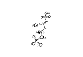 O=P([O-])([O-])ONCC=CS(=O)(=O)O.[Ca+2]